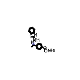 COOc1ccc(/C(C)=N\Nc2nc3ccccc3s2)cc1